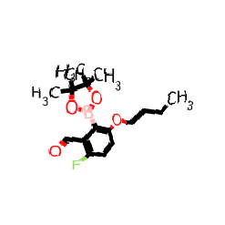 CCCCOc1ccc(F)c(C=O)c1B1OC(C)(C)C(C)(C)O1